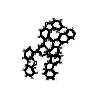 c1ccc2cc3c(cc2c1)c1ccccc1n3-c1c(-c2nc(-c3cccc4c3oc3ccccc34)nc(-c3cccc4c3sc3ccccc34)n2)ccc2oc3ccccc3c12